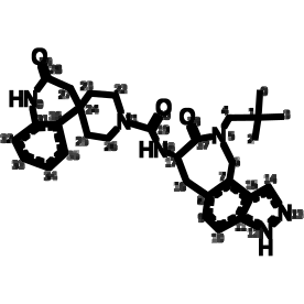 CC(C)(C)CN1Cc2c(ccc3[nH]ncc23)C[C@@H](NC(=O)N2CCC3(CC2)CC(=O)Nc2ccccc23)C1=O